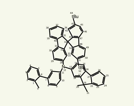 Cc1ccccc1-c1cccc(N(c2ccc3c(c2)C(C)(C)c2ccccc2-3)c2ccc3c(c2)C2(c4ccccc4-3)c3cc(C(C)(C)C)ccc3-c3ccc(C(C)(C)C)cc32)c1